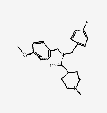 COc1ccc(CN(Cc2ccc(F)cc2)C(=O)C2CCN(C)CC2)cc1